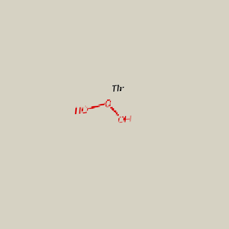 OOO.[Tb]